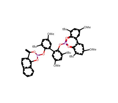 C=C1OP(Oc2c(-c3cc(OC)cc(C(C)(C)C)c3Op3oc4c(C(C)(C)C)cc(OC)cc4c4cc(OC)cc(C(C)(C)C)c4o3)cc(OC)cc2C(C)(C)C)Oc2c1ccc1ccccc21